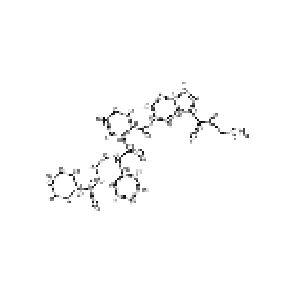 CCOC(=O)c1coc2ccc(Oc3ccncc3C(=O)N3CCN(C(=O)N4CCOCC4)c4ccccc43)cc12